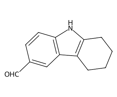 O=Cc1ccc2[nH]c3c(c2c1)CCCC3